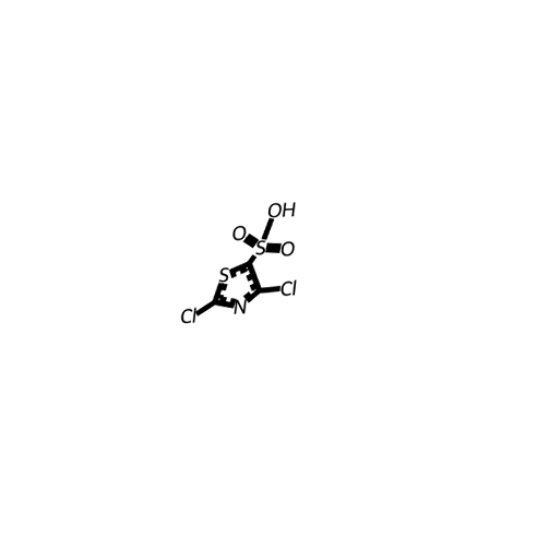 O=S(=O)(O)c1sc(Cl)nc1Cl